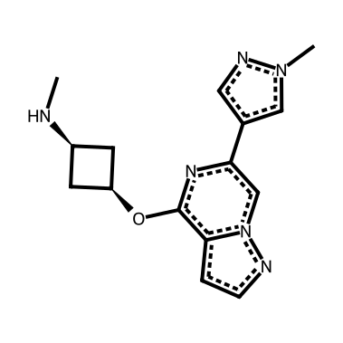 CN[C@H]1C[C@@H](Oc2nc(-c3cnn(C)c3)cn3nccc23)C1